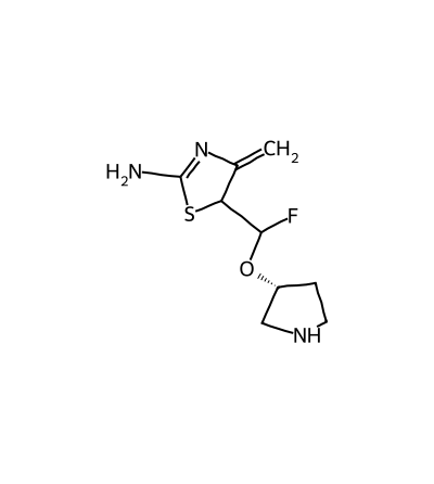 C=C1N=C(N)SC1C(F)O[C@@H]1CCNC1